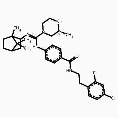 C[C@H]1CN(/C(=N/C2CC3CCC2(C)C3(C)C)Nc2ccc(C(=O)NCCc3ccc(Cl)cc3Cl)cc2)CCN1